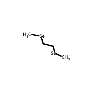 C[Se]CC[Se]C